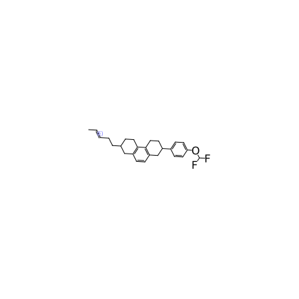 C/C=C/CCC1CCc2c(ccc3c2CCC(c2ccc(OC(F)F)cc2)C3)C1